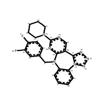 Fc1ccc(CN2c3ccccc3-n3nnnc3-c3cnc(N4CCCCC4)nc32)cc1F